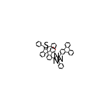 c1ccc(-c2nc(-c3ccc4c5ccccc5c5ccccc5c4c3)nc(-c3cccc4c3-c3ccccc3C43c4ccccc4-c4c(-c5ccccc5)sc(-c5ccccc5)c43)n2)cc1